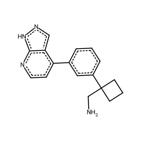 NCC1(c2cccc(-c3ccnc4[nH]ncc34)c2)CCC1